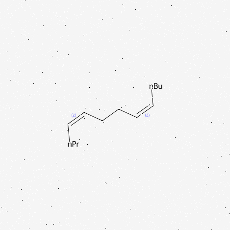 [CH2]CCC/C=C\CC/C=C\CCC